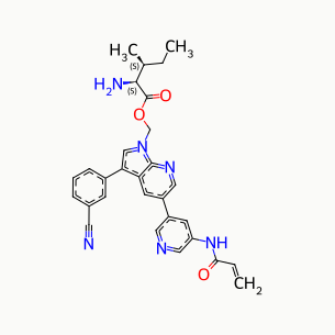 C=CC(=O)Nc1cncc(-c2cnc3c(c2)c(-c2cccc(C#N)c2)cn3COC(=O)[C@@H](N)[C@@H](C)CC)c1